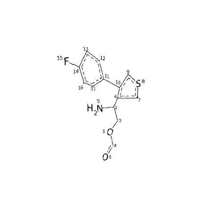 NC(COC=O)c1cscc1-c1ccc(F)cc1